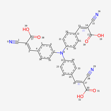 N#CC(=Cc1ccc(N(c2ccc(/C=C(/C#N)C(=O)O)cc2)c2ccc(/C=C(\C#N)C(=O)O)cc2)cc1)C(=O)O